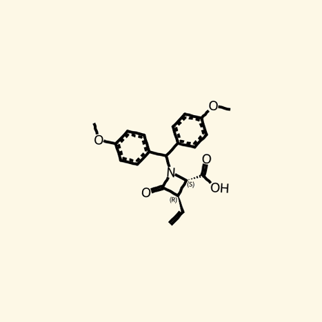 C=C[C@H]1C(=O)N(C(c2ccc(OC)cc2)c2ccc(OC)cc2)[C@@H]1C(=O)O